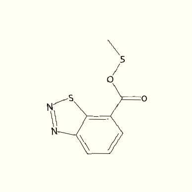 CSOC(=O)c1cccc2nnsc12